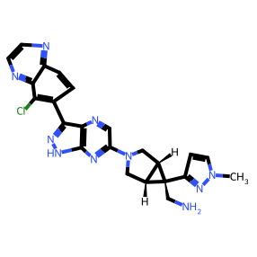 Cn1ccc([C@]2(CN)[C@@H]3CN(c4cnc5c(-c6ccc7nccnc7c6Cl)n[nH]c5n4)C[C@@H]32)n1